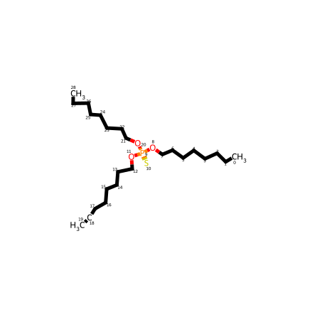 CCCCCCCCOP(=S)(OCCCCCCCC)OCCCCCCCC